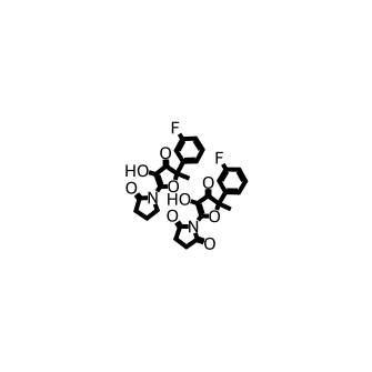 CC1(c2cccc(F)c2)OC(N2C(=O)CCC2=O)=C(O)C1=O.CC1(c2cccc(F)c2)OC(N2CCCC2=O)=C(O)C1=O